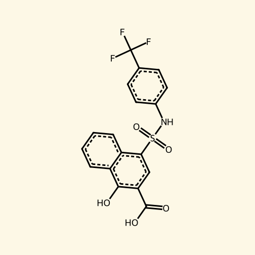 O=C(O)c1cc(S(=O)(=O)Nc2ccc(C(F)(F)F)cc2)c2ccccc2c1O